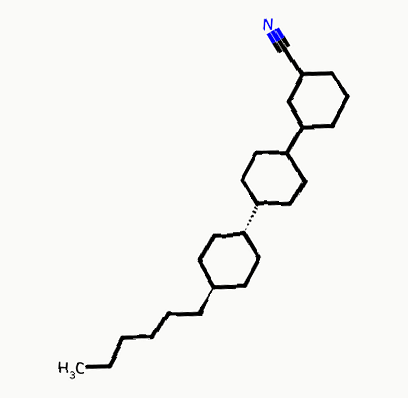 CCCCCC[C@H]1CC[C@H](C2CCC(C3CCCC(C#N)C3)CC2)CC1